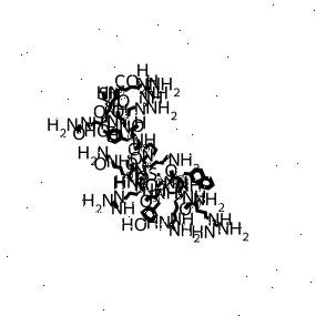 N=C(N)NCCC[C@H](NC(=O)[C@H](CS)NC(=O)[C@H](CCCNC(N)=O)NC(=O)[C@H](CCCNC(=N)N)NC(=O)[C@H](Cc1ccc(O)cc1)NC(=O)[C@@H]1CCCN1C(=O)[C@@H](CCCCN)NC(=O)[C@H](CCCNC(N)=O)NC(=O)[C@H](CCCNC(=N)N)NC(=O)[C@H](Cc1ccc(O)cc1)NC(=O)[C@H](CS)NC(=O)[C@H](Cc1ccc2ccccc2c1)NC(=O)[C@H](CCCNC(=N)N)NC(=O)[C@@H](N)CCCNC(=N)N)C(=O)O